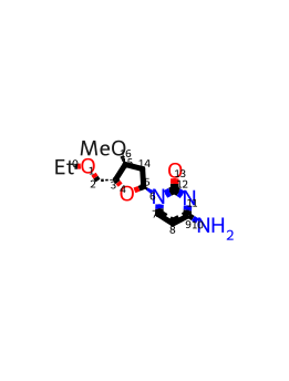 CCOC[C@H]1O[C@H](n2ccc(N)nc2=O)C[C@@H]1OC